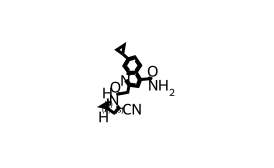 N#C[C@@H]1C[C@@H]2C[C@@H]2N1C(=O)Cc1cc(C(N)=O)c2ccc(C3CC3)cc2n1